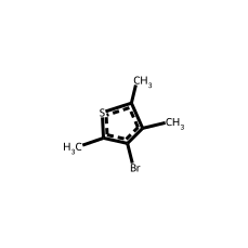 Cc1sc(C)c(Br)c1C